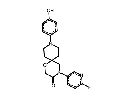 O=C1COC2(CCN(c3ccc(O)cc3)CC2)CN1c1ccc(F)nc1